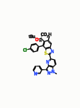 Cc1cc2nc(-c3ccc4c(n3)c(-c3cccnc3)nn4C)sc2c(-c2ccc(Cl)cc2)c1[C@H](OC(C)(C)C)C(=O)O